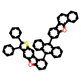 c1ccc(-c2sc3cc4c(cc3c2-c2ccccc2)oc2cccc(-c3c5ccccc5c(-c5ccc6c(c5)oc5c7ccccc7ccc65)c5ccccc35)c24)cc1